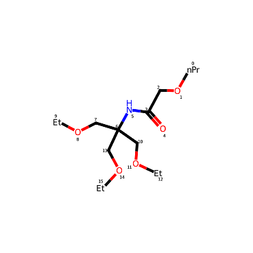 CCCOCC(=O)NC(COCC)(COCC)COCC